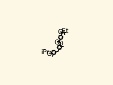 CCC(C)(C)C(=O)c1ccc(C(=O)Oc2ccc(Cc3ccc(OC(C)C)c(C)c3)cc2C)cc1